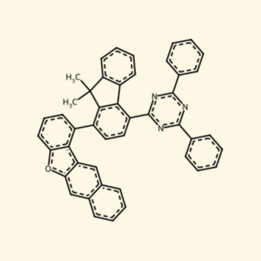 CC1(C)c2ccccc2-c2c(-c3nc(-c4ccccc4)nc(-c4ccccc4)n3)ccc(-c3cccc4oc5cc6ccccc6cc5c34)c21